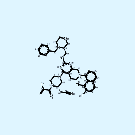 C=C(F)C(=O)N1CCN(c2nc(OC[C@@H]3COCCN3Cc3ccccc3)nc3c2CCN(c2cccc4ccc(F)c(Cl)c24)C3)C[C@@H]1CC#N